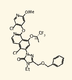 CCn1c(COCc2ccccc2)nn(-c2cc(O[C@@H](C)C(F)(F)F)c3c(Oc4cc(OC)ncc4Cl)nccc3c2Cl)c1=O